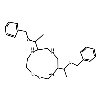 CC(OCc1ccccc1)C1CNCC(C(C)OCc2ccccc2)NCCOCCN1